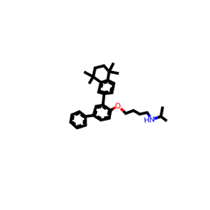 CC(C)NCCCCOc1ccc(-c2ccccc2)cc1-c1ccc2c(c1)C(C)(C)CCC2(C)C